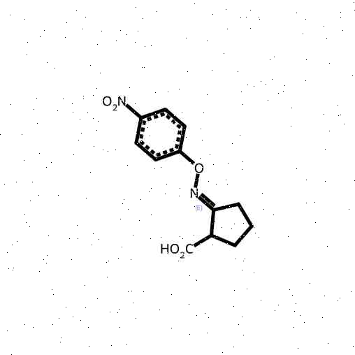 O=C(O)C1CCC/C1=N\Oc1ccc([N+](=O)[O-])cc1